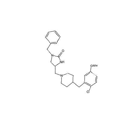 COc1ccc(Cl)c(CC2CCN(CC3CN(Cc4ccccc4)C(=O)N3)CC2)c1